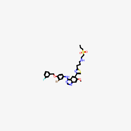 CCCS(=O)(=O)CCNCCCc1nc(-c2cc3c(Nc4ccc(OCc5cccc(F)c5)c(Br)c4)ncnc3cc2OC)cs1